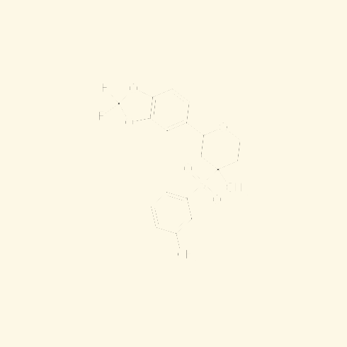 CC1(S(=O)(=O)c2cccc(C(F)(F)F)c2)CCOC(c2ccc3c(c2)OC(F)(F)O3)C1